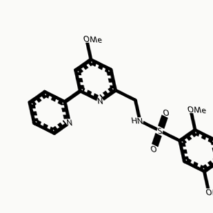 COc1cc(CNS(=O)(=O)c2cc(OC)ccc2OC)nc(-c2ccccn2)c1